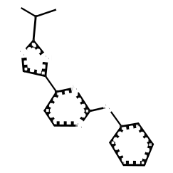 CC(C)c1ncc(-c2ccnc(Nc3ccccc3)n2)[nH]1